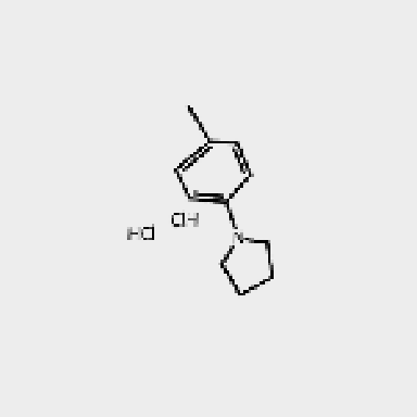 Cc1ccc(N2CCCC2)cc1.Cl.Cl